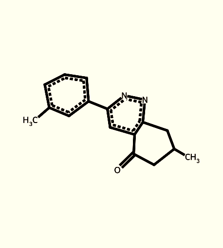 Cc1cccc(-c2cc3c(nn2)CC(C)CC3=O)c1